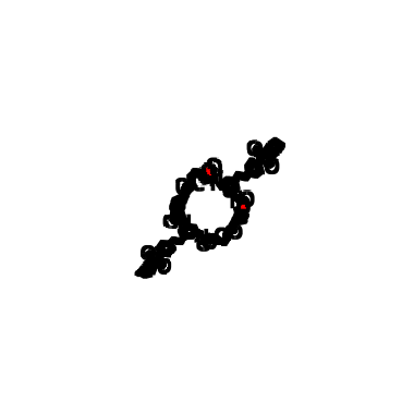 O=C1C2C3C=CC(C3)C2C(=O)N1c1ccc(CCc2cc3cc(c2)n2c(=O)c4cc(ccc4C2=O)c(=O)c2ccc4c(c2)c(=O)n(c2cc(CCc5ccc(N6C(=O)C7C8C=CC(C8)C7C6=O)cc5)cc(c2)n2c(=O)c5cc(ccc5C2=O)c(=O)c2ccc5c(c2)c(=O)n3C5=O)C4=O)cc1